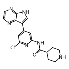 O=C(Nc1cc(-c2c[nH]c3nccnc23)cc(Cl)n1)C1CCNCC1